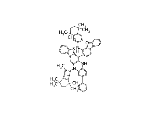 Cc1c2c3c(c-2c1N1c2cc(-c4c#cccc4)ccc2Bc2c1cc1c(sc4ccccc41)c2-c1ccc2c(oc4ccccc42)c1Nc1ccc2c(c1)C(C)(C)CCC2(C)C)C(C)(C)CCC3(C)C